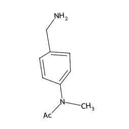 [CH2]C(=O)N(C)c1ccc(CN)cc1